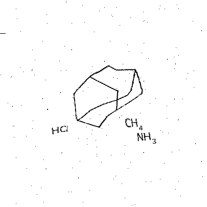 C.C1C2CC3CC1CC(C2)C3.Cl.N